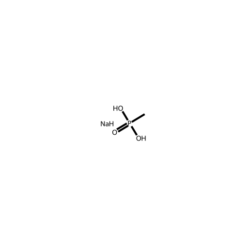 CP(=O)(O)O.[NaH]